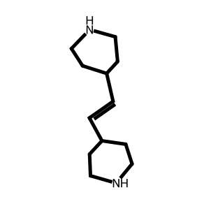 C(=C\C1CCNCC1)/C1CCNCC1